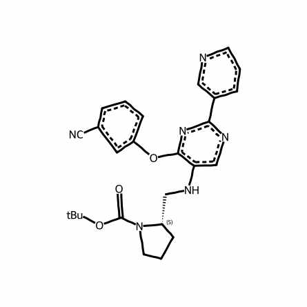 CC(C)(C)OC(=O)N1CCC[C@H]1CNc1cnc(-c2cccnc2)nc1Oc1cccc(C#N)c1